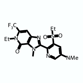 CCn1c(C(F)(F)F)cc2nc(-c3ncc(NC)cc3S(=O)(=O)CC)n(C)c2c1=O